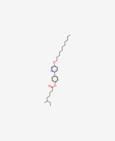 CCCCCCCCCCCOc1ccc(-c2ccc(OC(=O)CCCCC(C)CC)cc2)nc1